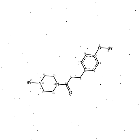 CC(C)Oc1ccc(CCC(=O)N2CCN(C(C)C)CC2)cc1